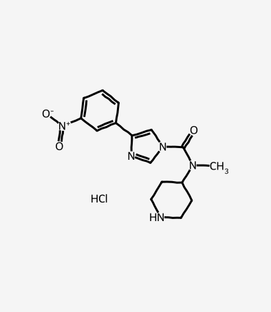 CN(C(=O)n1cnc(-c2cccc([N+](=O)[O-])c2)c1)C1CCNCC1.Cl